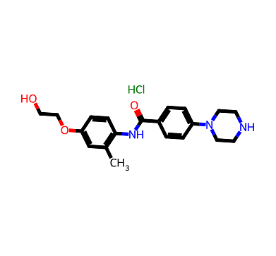 Cc1cc(OCCO)ccc1NC(=O)c1ccc(N2CCNCC2)cc1.Cl